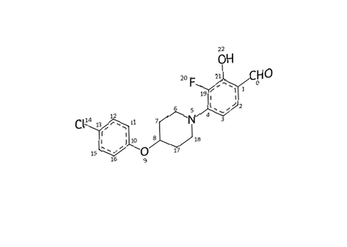 O=Cc1ccc(N2CCC(Oc3ccc(Cl)cc3)CC2)c(F)c1O